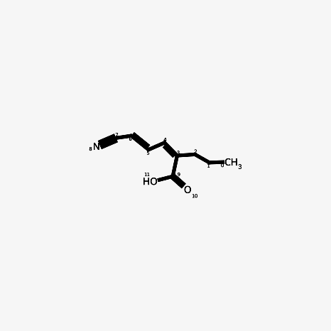 CCCC(=CC=CC#N)C(=O)O